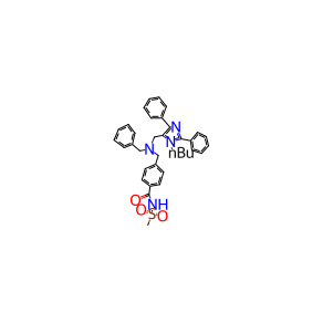 CCCCn1c(-c2ccccc2)nc(-c2ccccc2)c1CN(Cc1ccccc1)Cc1ccc(C(=O)NS(C)(=O)=O)cc1